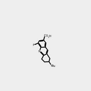 CC(C)(C)C1CCc2nc3c(F)cc(C(=O)O)cc3cc2C1